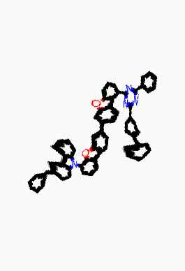 c1ccc(-c2ccc(-c3nc(-c4ccccc4)nc(-c4cccc5oc6cc(-c7ccc8c(c7)oc7c(-n9c%10ccccc%10c%10cc(-c%11ccccc%11)ccc%109)cccc78)ccc6c45)n3)cc2)cc1